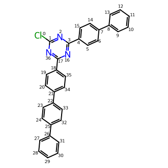 Clc1nc(-c2ccc(-c3ccccc3)cc2)nc(-c2ccc(-c3ccc(-c4ccccc4)cc3)cc2)n1